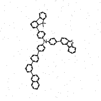 CC1(C)c2ccccc2-c2cccc(-c3ccc(N(c4ccc(-c5ccc(-c6cccc(-c7ccc8ccccc8c7)c6)cc5)cc4)c4ccc(-c5ccc6sc7ccccc7c6c5)cc4)cc3)c21